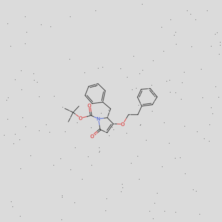 CC(C)(C)OC(=O)N1C(=O)C=C(OCCc2ccccc2)C1Cc1ccccc1